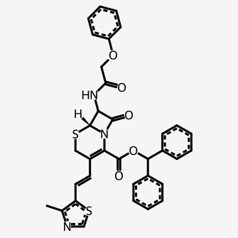 Cc1ncsc1/C=C/C1=C(C(=O)OC(c2ccccc2)c2ccccc2)N2C(=O)C(NC(=O)COc3ccccc3)[C@H]2SC1